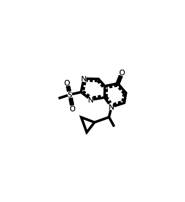 CC(C1CC1)n1ccc(=O)c2cnc(S(C)(=O)=O)nc21